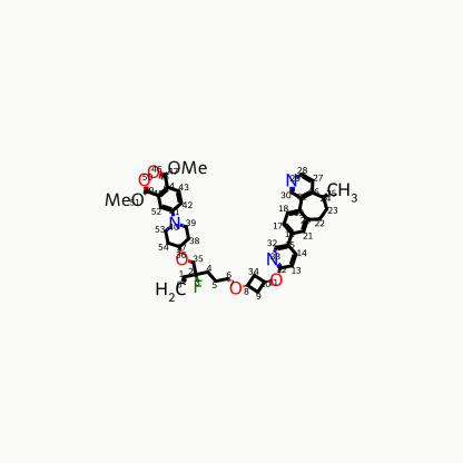 C=CC(F)(CCCO[C@H]1C[C@H](Oc2ccc(-c3ccc4c(c3)CCC(C)c3ccncc3-4)cn2)C1)COC1CCN(c2ccc(C(=O)OC)c(C(=O)OC)c2)CC1